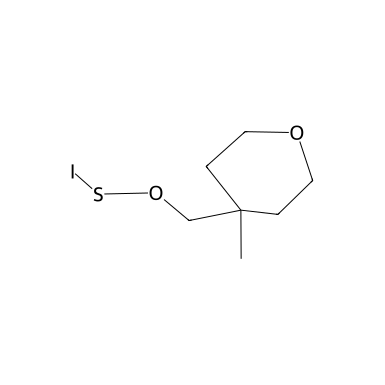 CC1(COSI)CCOCC1